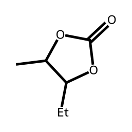 [CH2]CC1OC(=O)OC1C